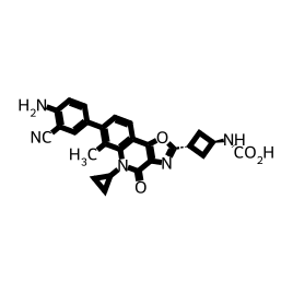 Cc1c(-c2ccc(N)c(C#N)c2)ccc2c3oc([C@H]4C[C@H](NC(=O)O)C4)nc3c(=O)n(C3CC3)c12